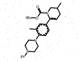 Cc1cc(C2=CCC(C)CN2C(=O)OC(C)(C)C)ccc1N1CCN(C(C)C)CC1